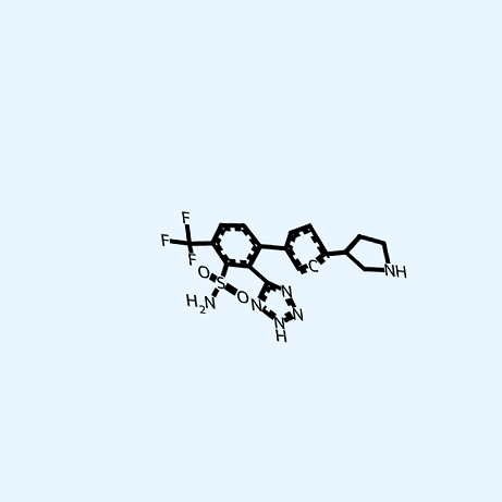 NS(=O)(=O)c1c(C(F)(F)F)ccc(-c2ccc(C3CCNC3)cc2)c1-c1nn[nH]n1